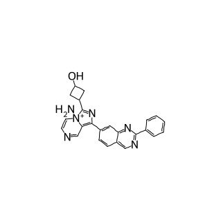 N[N+]12C=CN=CC1=C(c1ccc3cnc(-c4ccccc4)nc3c1)N=C2C1CC(O)C1